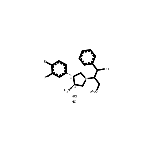 COCC(C(O)c1ccccc1)N1C[C@@H](N)[C@H](c2ccc(F)c(F)c2)C1.Cl.Cl